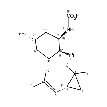 CC(C)=C[C@H]1CC1(C)C.CC(C)[C@H]1CC[C@H](C)C[C@H]1NC(=O)O